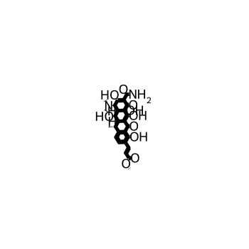 COC(=O)/C=C/c1ccc2c(c1O)C(=O)C1=C(O)[C@]3(O)C(=O)C(C(N)=O)=C(O)[C@@H](N(C)C)[C@@H]3[C@@H](O)[C@@H]1[C@H]2C